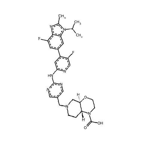 Cc1nc2c(F)cc(-c3cc(Nc4ncc(CN5CC[C@@H]6[C@@H](C5)OCCN6C(=O)O)cn4)ncc3F)cc2n1C(C)C